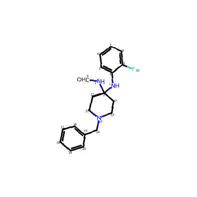 O=CNC1(Nc2ccccc2F)CCN(Cc2ccccc2)CC1